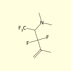 C=C(C)C(F)(F)C(N(C)C)C(F)(F)F